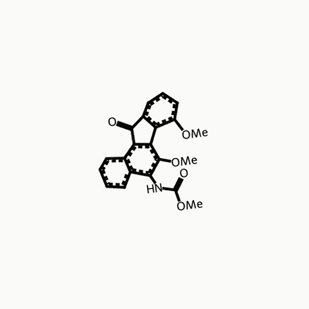 COC(=O)Nc1c(OC)c2c(c3ccccc13)C(=O)c1cccc(OC)c1-2